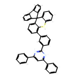 c1ccc(-c2cc(-c3ccccc3)nc(-c3cccc(-c4cccc5c4Sc4ccccc4C54c5ccccc5-c5ccccc54)c3)n2)cc1